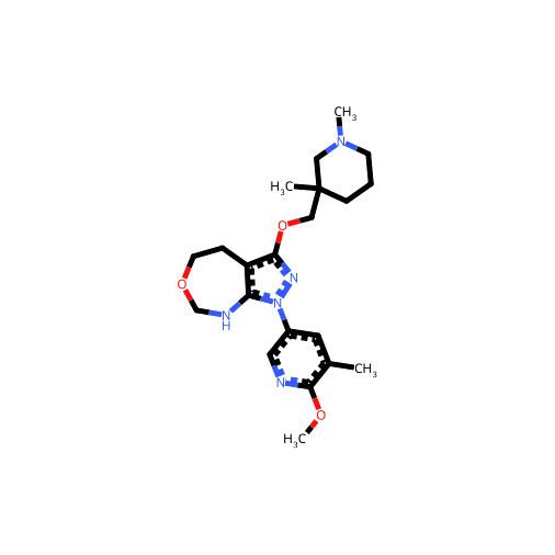 COc1ncc(-n2nc(OCC3(C)CCCN(C)C3)c3c2NCOCC3)cc1C